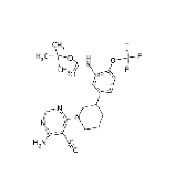 [C-]#[N+]c1c(N)ncnc1N1CCCC(c2ccc(OC(F)(F)F)c(NC(=O)OC(C)(C)C)c2)C1